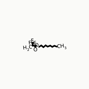 C=C(C(=O)OCCCCCCCCCC)C(F)(F)F